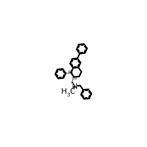 CN(Cc1ccccc1)C[C@H]1CCc2cc(-c3ccccc3)ccc2[C@H]1c1ccccc1